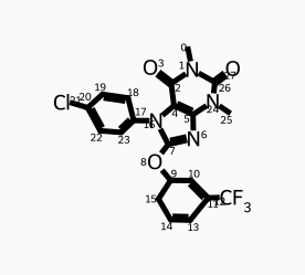 Cn1c(=O)c2c(nc(OC3C=C(C(F)(F)F)C=CC3)n2-c2ccc(Cl)cc2)n(C)c1=O